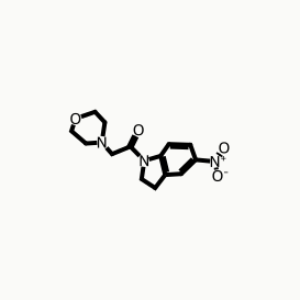 O=C(CN1CCOCC1)N1CCc2cc([N+](=O)[O-])ccc21